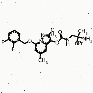 CCCC(C)(N)CNC(=O)Oc1c(C)nn2c(OCc3cccc(F)c3F)cc(C)cc12